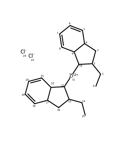 CCC1CC2C=CC=CC2[CH]1[Zr+2][CH]1C(CC)CC2C=CC=CC21.[Cl-].[Cl-]